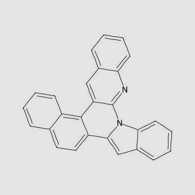 c1ccc2nc3c(cc2c1)c1c2ccccc2ccc1c1cc2ccccc2n13